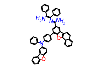 N/C(=N\C(=C(/N)c1ccccc1)c1ccccc1)c1cc(-c2ccc(N(c3ccccc3)c3ccc4oc5ccccc5c4c3)cc2)c2oc3c4ccccc4ccc3c2c1